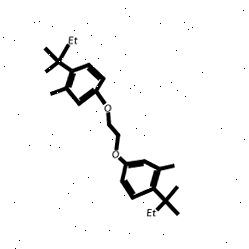 CCC(C)(C)c1ccc(OCCOc2ccc(C(C)(C)CC)c(C)c2)cc1C